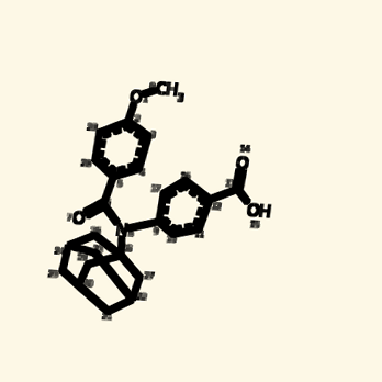 COc1ccc(C(=O)N(c2ccc(C(=O)O)cc2)C23CC4CC(CC(C4)C2)C3)cc1